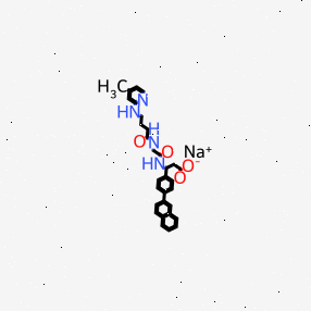 Cc1ccnc(NCCCC(=O)NCC(=O)NC(CC(=O)[O-])c2ccc(-c3ccc4ccccc4c3)cc2)c1.[Na+]